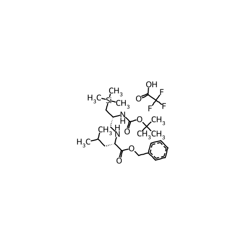 CC(C)C[C@H](NC[C@H](C[Si](C)(C)C)NC(=O)OC(C)(C)C)C(=O)OCc1ccccc1.O=C(O)C(F)(F)F